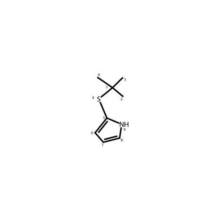 CC(C)(C)Sc1ccc[nH]1